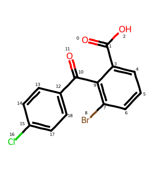 O=C(O)c1cccc(Br)c1C(=O)c1ccc(Cl)cc1